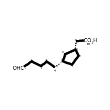 O=CCCCC[C@H]1CC[C@@H](CC(=O)O)C1